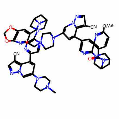 COc1ccc(C(=O)N2C3CC2CN(c2ccc(-c4cc(N5CCN(Cc6nc7c(cc6CN6C8CC6CN(c6cnc(-c9cc(N%10CCN(C)CC%10)cn%10ncc(C#N)c9%10)cn6)C8)OCO7)CC5)cn5ncc(C#N)c45)cn2)C3)cn1